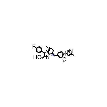 COc1cc(/C=C2\CCN(C)N3C2=NC(CO)C3c2ccc(F)cc2)ccc1-n1cnc(C)c1